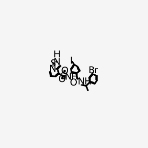 CC(CNC(=O)c1ccc(I)cc1NS(=O)(=O)C1=CC=CN2SNC=C12)c1cccc(Br)c1